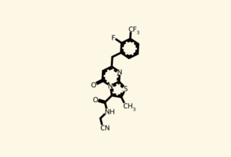 Cc1sc2nc(Cc3cccc(C(F)(F)F)c3F)cc(=O)n2c1C(=O)NCC#N